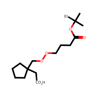 CCC(C)(C)OC(=O)CCCOOCC1(CC(=O)O)CCCC1